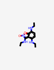 CCNc1ccc(NCC)c2c(NCC)[n+]([O-])oc12